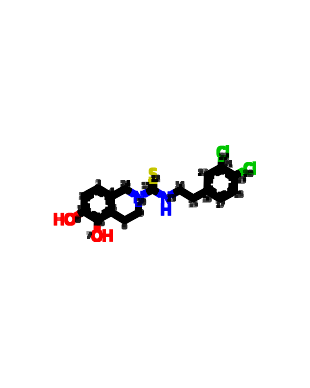 Oc1ccc2c(c1O)CCN(C(=S)NCCc1ccc(Cl)c(Cl)c1)C2